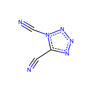 N#Cc1nnnn1C#N